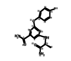 C[C@H](Nc1cc(C(N)=O)nc(Oc2ccc(F)cc2)n1)C(N)=O